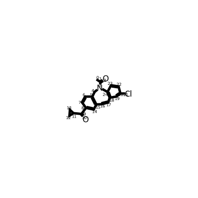 CC(=O)N1Cc2ccc(C(=O)C3CC3)cc2C=Cc2cc(Cl)ccc21